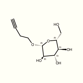 C#CCCO[C@@H]1O[C@H](CO)[C@@H](O)[C@H](O)[C@H]1O